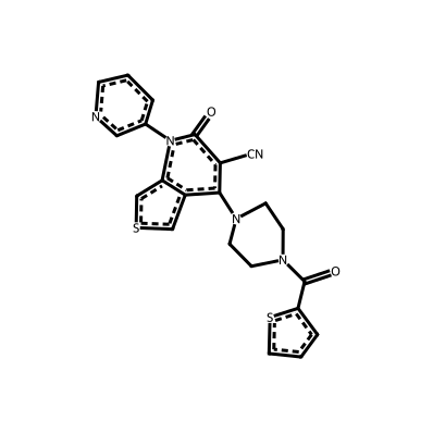 N#Cc1c(N2CCN(C(=O)c3cccs3)CC2)c2cscc2n(-c2cccnc2)c1=O